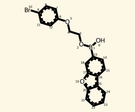 OB(OCCOc1ccc(Br)cc1)c1ccc2c(c1)oc1ccccc12